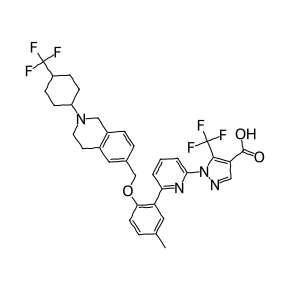 Cc1ccc(OCc2ccc3c(c2)CCN(C2CCC(C(F)(F)F)CC2)C3)c(-c2cccc(-n3ncc(C(=O)O)c3C(F)(F)F)n2)c1